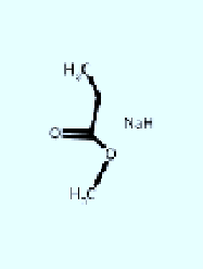 CCC(=O)OC.[NaH]